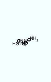 Nc1ccc(-c2nc3c(Nc4cccc(O)c4)ncnc3o2)cc1